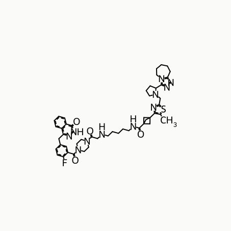 Cc1sc(CN2CCCC2c2nnc3n2CCCCC3)nc1C12CC(C(=O)NCCCCCNCC(=O)N3CCN(C(=O)c4cc(Cc5n[nH]c(=O)c6ccccc56)ccc4F)CC3)(C1)C2